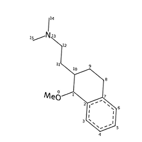 COC1c2ccccc2CCC1CCN(C)C